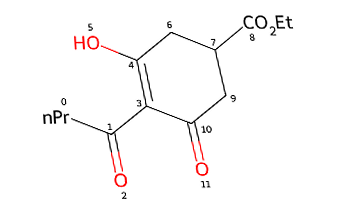 CCCC(=O)C1=C(O)CC(C(=O)OCC)CC1=O